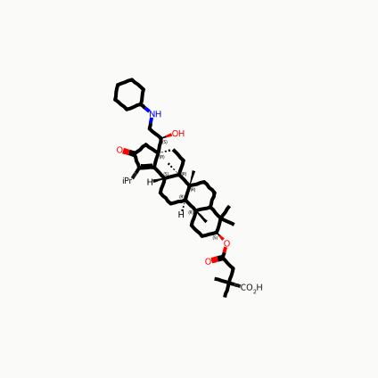 CC(C)C1=C2[C@H]3CC[C@@H]4[C@@]5(C)CC[C@H](OC(=O)CC(C)(C)C(=O)O)C(C)(C)C5CC[C@@]4(C)[C@]3(C)CC[C@@]2([C@H](O)CNC2CCCCC2)CC1=O